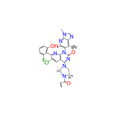 C=CC(=O)N1C[C@H](C)N(c2nc(=O)n(-c3c(C)nc4c(ncn4C)c3C(C)C)c3nc(-c4c(O)cccc4F)c(Cl)cc23)C[C@H]1C